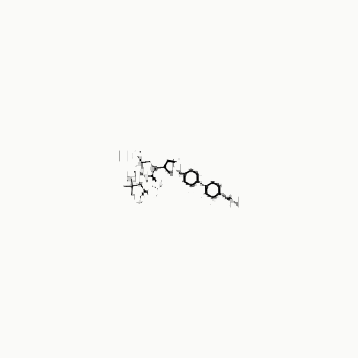 CC1(C)COC(=O)[C@H]1NC(=O)[C@@H](CC(=O)O)c1ccn(-c2ccc(-c3ccc(C#N)cc3)cc2)c1